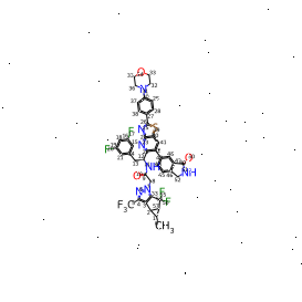 CC1C2c3c(C(F)(F)F)nn(CC(=O)N[C@@H](Cc4cc(F)cc(F)c4)c4nc5nc(-c6ccc(N7CCOCC7)cc6)sc5cc4-c4ccc5c(c4)C(=O)NC5)c3C(F)(F)C12